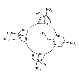 CCCOc1c2cc([N+](=O)[O-])cc1Cc1cc([N+](=O)[O-])cc(c1OCCC)Cc1cc([N+](=O)[O-])cc(c1OCC(=O)O)Cc1cc([N+](=O)[O-])cc(c1OCCC)C2